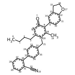 CCCCc1nc(=O)c(-c2ccc3c(c2)CCO3)c(C)n1Cc1ccc(-c2ccccc2C#N)cc1